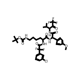 COc1ccc(C(NC(=O)C(CCCCNC(=O)OC(C)(C)C)NC(=O)C(F)(F)c2cccc(Cl)c2)C(=O)NC(C(=O)C(F)(F)F)C(C)C)cc1